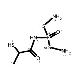 CC(S)C(=O)NP(=O)(SN)SN